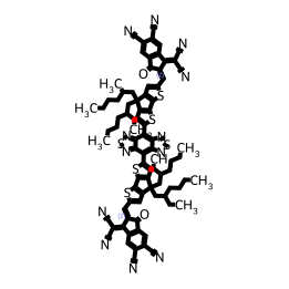 CCCCC(C)CC1(CC(CC)CCCC)c2cc(/C=C3\C(=O)c4cc(C#N)c(C#N)cc4C3=C(C#N)C#N)sc2-c2sc(-c3c4c(c(-c5cc6c(s5)-c5sc(/C=C7\C(=O)c8cc(C#N)c(C#N)cc8C7=C(C#N)C#N)cc5C6(CC(CC)CCCC)CC(CC)CCCC)c5nsnc35)N=S=N4)cc21